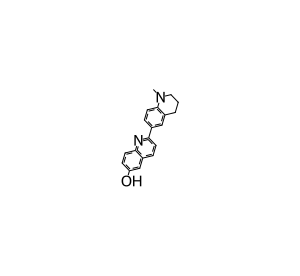 CN1CCCc2cc(-c3ccc4cc(O)ccc4n3)ccc21